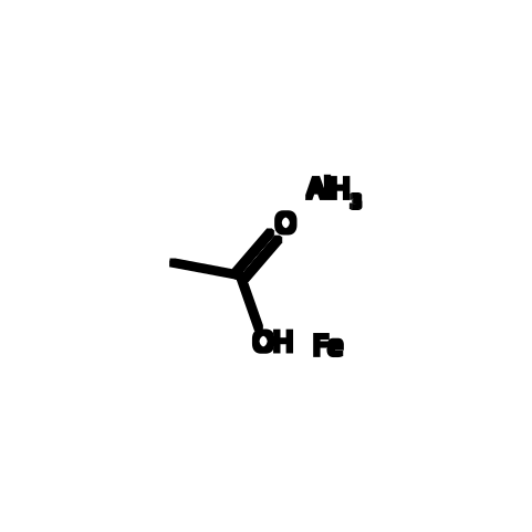 CC(=O)O.[AlH3].[Fe]